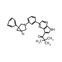 CC(C)(C)C(=O)c1c[nH]c2ncc(-c3cccc(N4C[C@@H]5C[C@]5(c5ccccc5)C4)c3)nc12